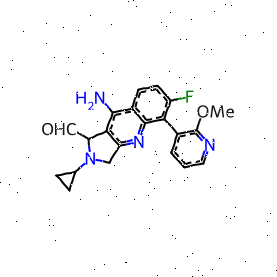 COc1ncccc1-c1c(F)ccc2c(N)c3c(nc12)CN(C1CC1)C3C=O